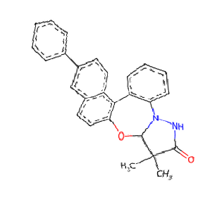 CC1(C)C(=O)NN2c3ccccc3-c3c(ccc4cc(-c5ccccc5)ccc34)OC21